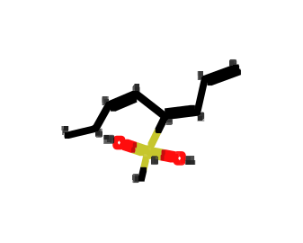 C=C/C=C(\C=C/CC)S(C)(=O)=O